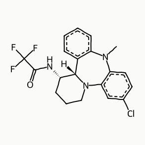 CN1c2ccccc2[C@H]2[C@@H](NC(=O)C(F)(F)F)CCCN2c2cc(Cl)ccc21